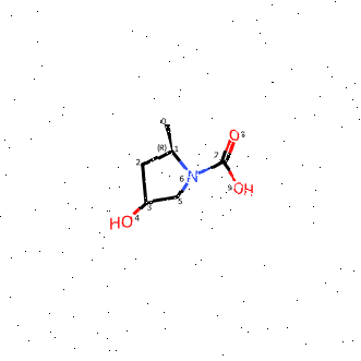 C[C@@H]1CC(O)CN1C(=O)O